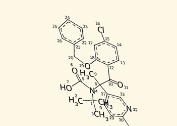 CC(C)(C)N(C(=O)O)C(C)(C(=O)c1ccc(Cl)cc1OCc1ccccc1)c1ccc(Cl)nc1